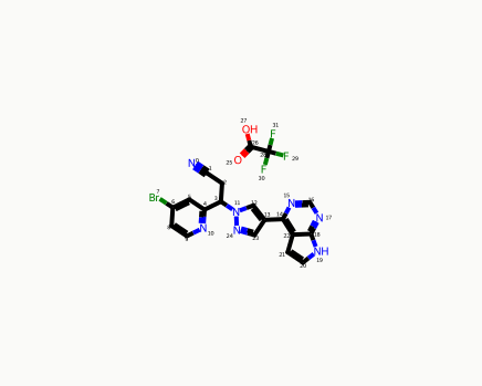 N#CCC(c1cc(Br)ccn1)n1cc(-c2ncnc3[nH]ccc23)cn1.O=C(O)C(F)(F)F